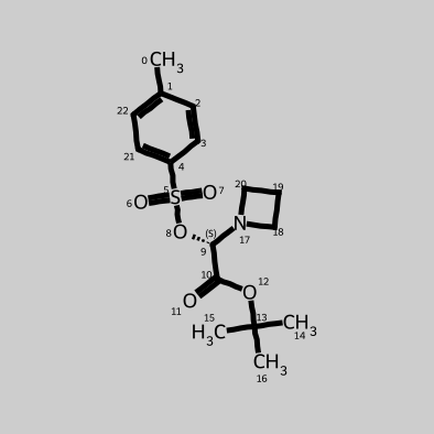 Cc1ccc(S(=O)(=O)O[C@@H](C(=O)OC(C)(C)C)N2CCC2)cc1